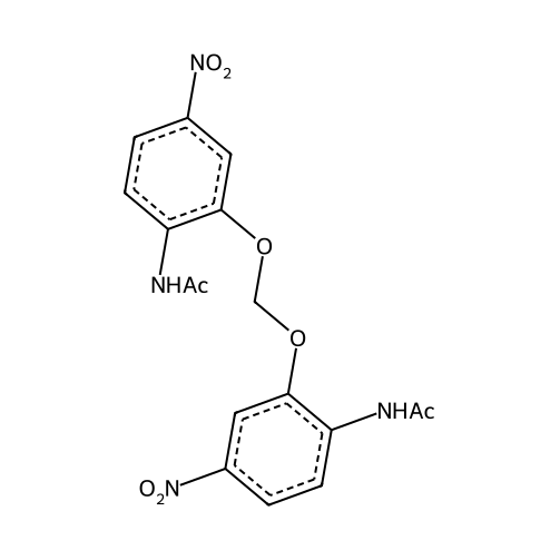 CC(=O)Nc1ccc([N+](=O)[O-])cc1OCOc1cc([N+](=O)[O-])ccc1NC(C)=O